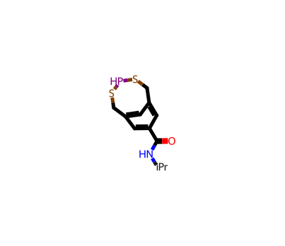 CC(C)NC(=O)c1cc2cc(c1)CSPSC2